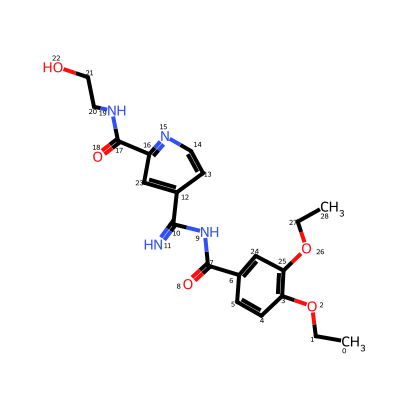 CCOc1ccc(C(=O)NC(=N)c2ccnc(C(=O)NCCO)c2)cc1OCC